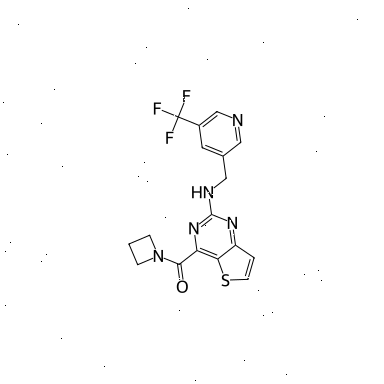 O=C(c1nc(NCc2cncc(C(F)(F)F)c2)nc2ccsc12)N1CCC1